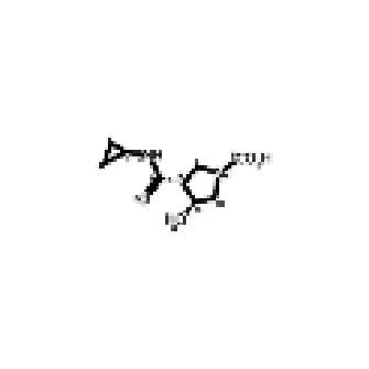 O=C(NC1CC1)[C@@H]1CN(C(=O)O)C[C@H]1O